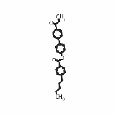 C=CC(=O)c1ccc(-c2ccc(OC(=O)c3ccc(CCCCC)cc3)cc2)cc1